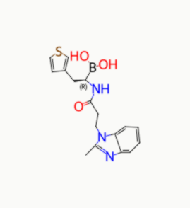 Cc1nc2ccccc2n1CCC(=O)N[C@@H](Cc1ccsc1)B(O)O